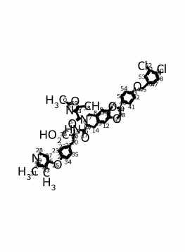 Cc1nc(C(=O)N2Cc3cc4c(cc3C[C@H]2C(=O)N[C@@H](Cc2ccc(Oc3ccnc(C)c3C)cc2)C(=O)O)OC[C@H](c2ccc(OCc3ccc(Cl)c(Cl)c3)cc2)O4)c(C)o1